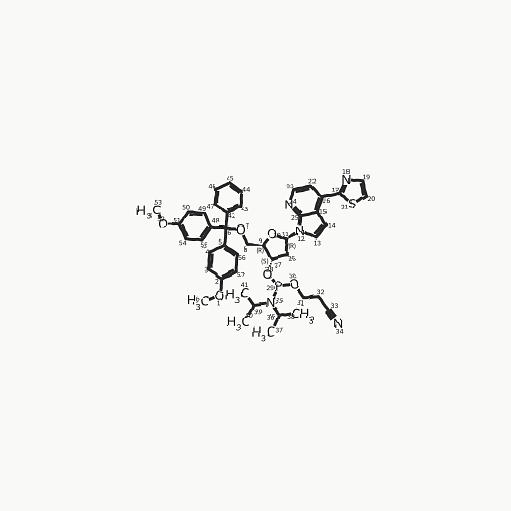 COc1ccc(C(OC[C@H]2O[C@@H](n3ccc4c(-c5nccs5)ccnc43)C[C@@H]2OP(OCCC#N)N(C(C)C)C(C)C)(c2ccccc2)c2ccc(OC)cc2)cc1